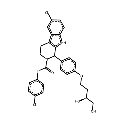 O=C(Oc1ccc(Cl)cc1)N1CCc2c([nH]c3ccc(Cl)cc23)C1c1ccc(OCC[C@H](O)CO)cc1